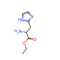 CCOC(=O)C(N)Cc1ncc[nH]1